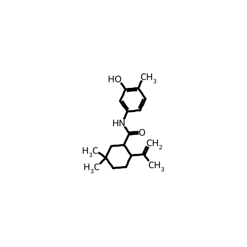 C=C(C)C1CCC(C)(C)CC1C(=O)Nc1ccc(C)c(O)c1